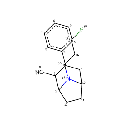 N#CC1C(c2ccccc2)CC2CCC1N2CCCF